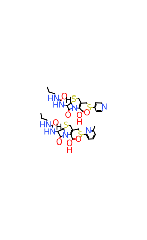 CCCNC(=O)NC1C(=O)N2C(C(=O)O)=C(CSc3cccc(C)n3)CS[C@@H]12.CCCNC(=O)NC1C(=O)N2C(C(=O)O)=C(CSc3ccncc3)CS[C@@H]12